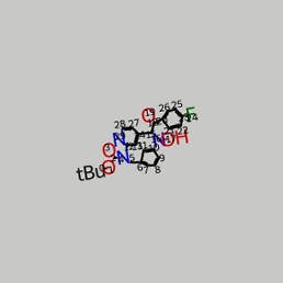 CC(C)(C)OC(=O)N(Cc1ccccc1)c1cc(C(=NO)C(=O)c2ccc(F)cc2)ccn1